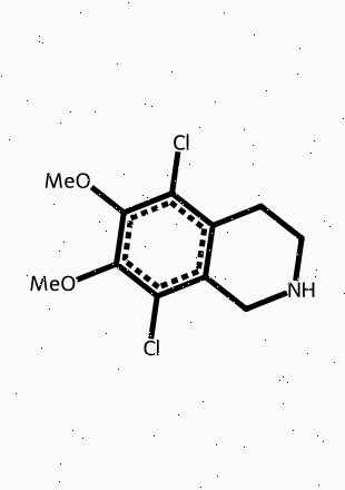 COc1c(Cl)c2c(c(Cl)c1OC)CNCC2